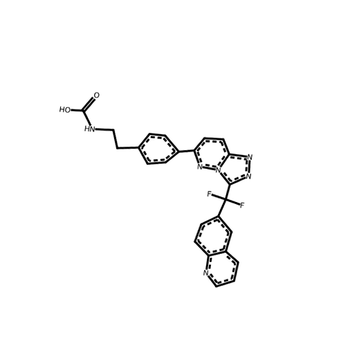 O=C(O)NCCc1ccc(-c2ccc3nnc(C(F)(F)c4ccc5ncccc5c4)n3n2)cc1